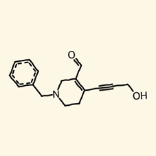 O=CC1=C(C#CCO)CCN(Cc2ccccc2)C1